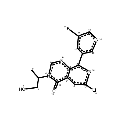 CC(CO)n1cnc2c(-c3cncc(F)c3)nc(Cl)cc2c1=O